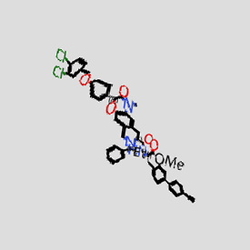 C#Cc1ccc(-c2ccc(C[C@H](NC(=O)[C@@H]3Cc4cc5c(cc4CN3[C@H](CC)c3ccccc3)O[C@H](c3ccc(OCc4ccc(Cl)c(Cl)c4)cc3)C(=O)N5C)C(=O)OC)cc2)cc1